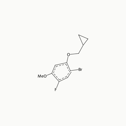 COc1cc(OCC2CC2)c(Br)cc1F